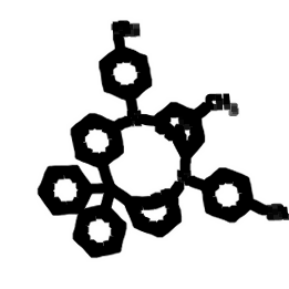 Cc1cc2c(Br)c(c1)N(c1ccc(C(C)(C)C)cc1)c1cccc(c1)C(c1ccccc1)(c1ccccc1)c1cccc(c1)N2c1ccc(C(C)(C)C)cc1